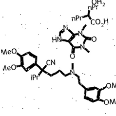 CCCC(CCC)C(=O)O.COc1ccc(CCN(C)CCCC(C#N)(c2ccc(OC)c(OC)c2)C(C)C)cc1OC.Cn1c(=O)c2[nH]cnc2n(C)c1=O.O